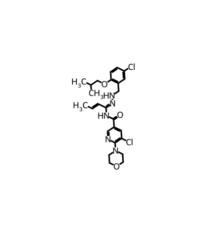 C/C=C/C(=N\NCc1cc(Cl)ccc1OCC(C)C)NC(=O)c1cnc(N2CCOCC2)c(Cl)c1